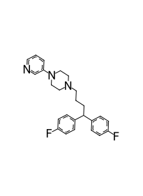 Fc1ccc(C(CCCN2CCN(c3cccnc3)CC2)c2ccc(F)cc2)cc1